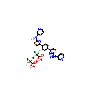 O=C(O)C(F)(F)F.O=C(O)C(F)(F)F.c1cncc(Nc2nc(-c3ccc(-c4csc(Nc5cccnc5)n4)cc3)cs2)c1